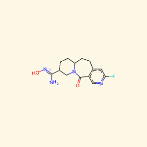 N/C(=N\O)C1CCC2CCc3cc(F)ncc3C(=O)N2C1